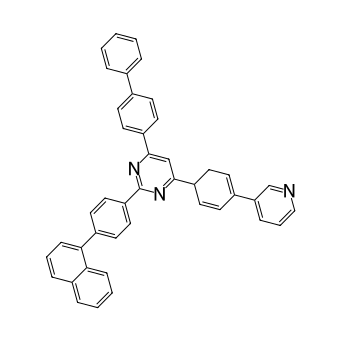 C1=CC(c2cc(-c3ccc(-c4ccccc4)cc3)nc(-c3ccc(-c4cccc5ccccc45)cc3)n2)CC=C1c1cccnc1